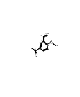 COc1ccc(C(C)=O)cc1C=O